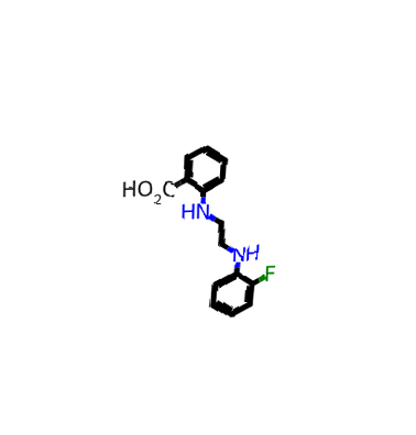 O=C(O)c1ccccc1NCCNc1ccccc1F